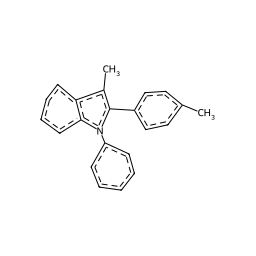 Cc1ccc(-c2c(C)c3ccccc3n2-c2ccccc2)cc1